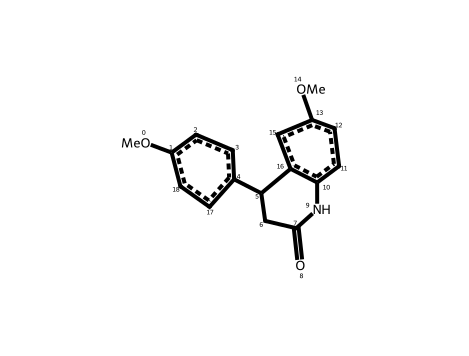 COc1ccc(C2CC(=O)Nc3ccc(OC)cc32)cc1